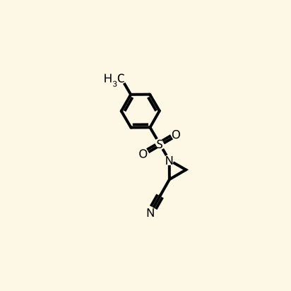 Cc1ccc(S(=O)(=O)N2CC2C#N)cc1